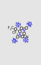 Cc1nc(C)nc(-c2ccc3c(c2)c2cc(-c4nc(C)nc(C)n4)ccc2n3-c2ccc(C#N)cc2-c2ccc(-c3ccc(C(F)(F)F)cc3C(F)(F)F)cc2-n2c3ccc(-c4nc(C)nc(C)n4)cc3c3cc(-c4nc(C)nc(C)n4)ccc32)n1